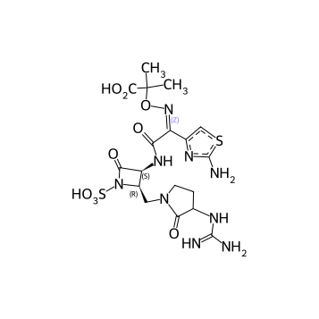 CC(C)(O/N=C(\C(=O)N[C@@H]1C(=O)N(S(=O)(=O)O)[C@@H]1CN1CCC(NC(=N)N)C1=O)c1csc(N)n1)C(=O)O